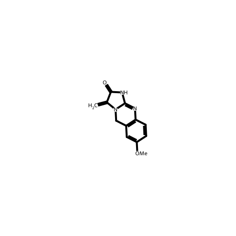 C=c1c(=O)[nH]c2n1Cc1cc(OC)ccc1N=2